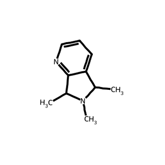 CC1c2cccnc2C(C)N1C